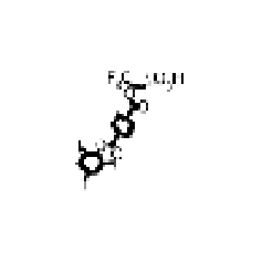 O=C(Oc1c(I)cc(I)cc1I)c1ccc(C(=O)OC(CS(=O)(=O)O)C(F)(F)F)cc1